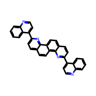 c1ccc2c(-c3ccc4ccc5c(ccc6ccc(-c7ccnc8ccccc78)nc65)c4n3)ccnc2c1